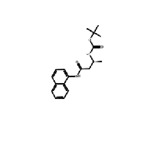 C[C@@H](CC(=O)Nc1cccc2ccccc12)NC(=O)OC(C)(C)C